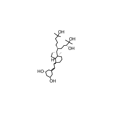 CC(C)(O)CCC[C@@H](CC[C@@H](O)C(C)(C)O)[C@H]1CC[C@H]2/C(=C/C=C3C[C@@H](O)C[C@H](O)C3)CCC[C@]12C